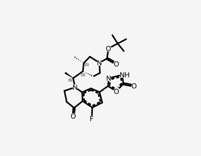 C[C@@H]1CN(C(=O)OC(C)(C)C)CC[C@@H]1[C@H](C)N1CCC(=O)c2c(F)cc(-c3n[nH]c(=O)o3)cc21